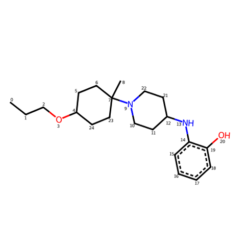 CCCOC1CCC(C)(N2CCC(Nc3ccccc3O)CC2)CC1